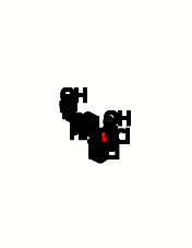 Cc1c(Nc2nccc3cc(CN4CCC(O)CC4)cnc23)cccc1C1N=CC=CC1(Cl)c1nc2cc(CO)cc(Cl)c2o1